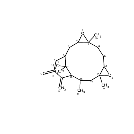 C=C1C(=O)CC2CC3OC3(C)CCC3OC3(C)C[C@H](C)C1C2(C)C